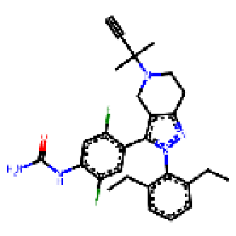 C#CC(C)(C)N1CCc2nn(-c3c(CC)cccc3CC)c(-c3cc(F)c(NC(N)=O)cc3F)c2C1